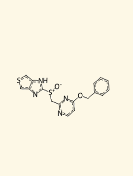 [O-][S+](Cc1nccc(OCc2ccccc2)n1)c1nc2cscc2[nH]1